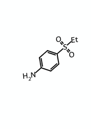 [CH2]CS(=O)(=O)c1ccc(N)cc1